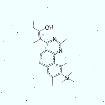 CC/C(O)=C(\C)c1nc(C)nc2c1ccc1cc(C)c([Si](C)(C)C)c(C)c12